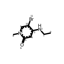 CCNc1cc(=O)n(C)cc1Br